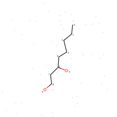 CCCCCC([O])CC[O]